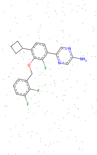 Nc1cnc(-c2ccc(C3CCC3)c(OCc3cccc(F)c3F)c2F)cn1